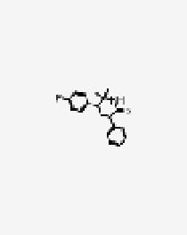 CC1(C)NC(=O)C(c2ccccc2)CC1c1ccc(F)cc1